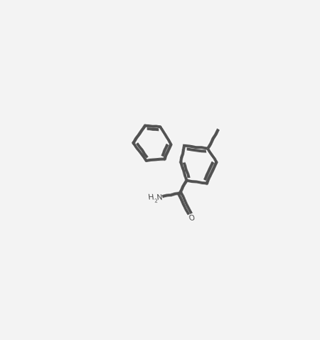 Cc1ccc(C(N)=O)cc1.c1ccccc1